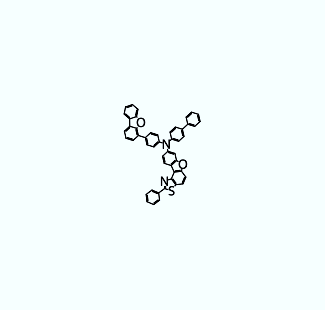 c1ccc(-c2ccc(N(c3ccc(-c4cccc5c4oc4ccccc45)cc3)c3ccc4c(c3)oc3ccc5sc(-c6ccccc6)nc5c34)cc2)cc1